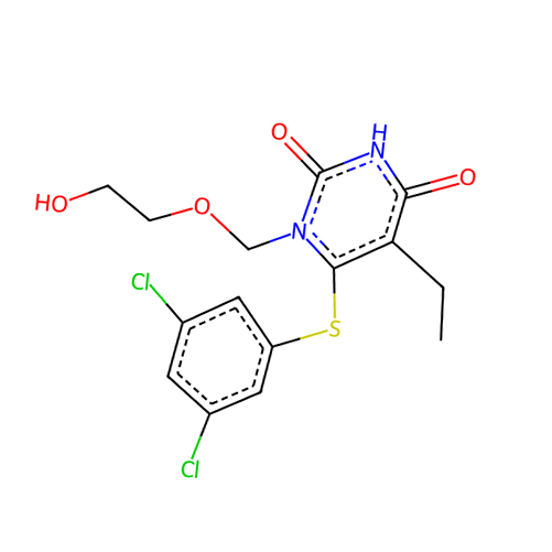 CCc1c(Sc2cc(Cl)cc(Cl)c2)n(COCCO)c(=O)[nH]c1=O